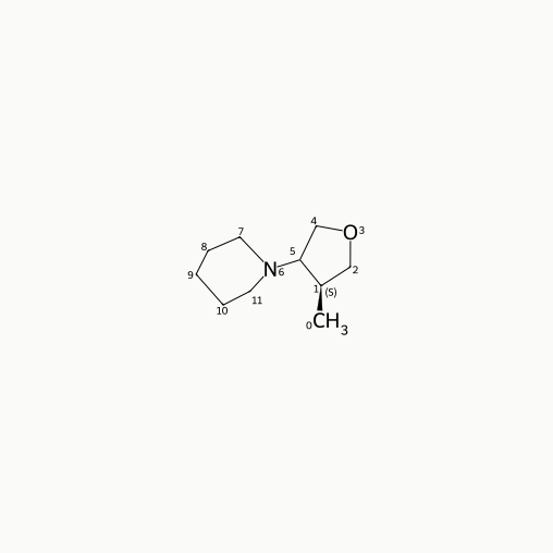 C[C@@H]1COCC1N1CCCCC1